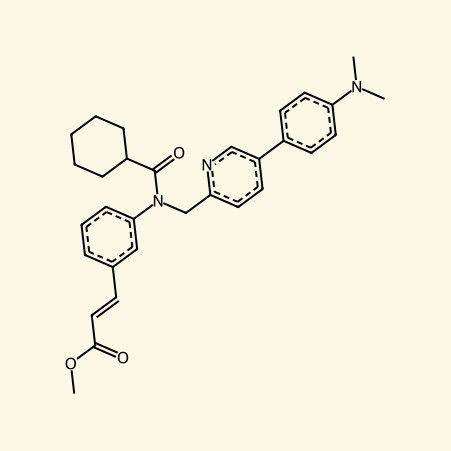 COC(=O)/C=C/c1cccc(N(Cc2ccc(-c3ccc(N(C)C)cc3)cn2)C(=O)C2CCCCC2)c1